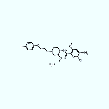 COc1cc(N)c(Cl)cc1C(=O)NC1CCN(CCCOc2ccc(F)cc2)CC1OC.O